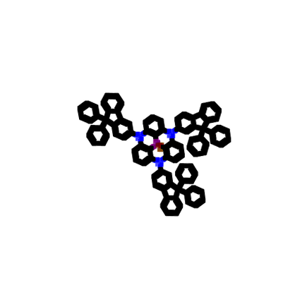 S=P12c3c4cccc3N(c3ccc5c(c3)C(c3ccccc3)(c3ccccc3)c3ccccc3-5)c3cccc(c31)N(c1ccc3c(c1)C(c1ccccc1)(c1ccccc1)c1ccccc1-3)c1cccc(c12)N4c1ccc2c(c1)-c1ccccc1C2(c1ccccc1)c1ccccc1